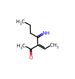 C/C=C(\C(=N)CCC)C(C)=O